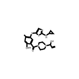 C=CC(O)N1CCN(C(=O)c2cc(Sc3cnc(NC4CC4)s3)c(C)cc2OC)CC1